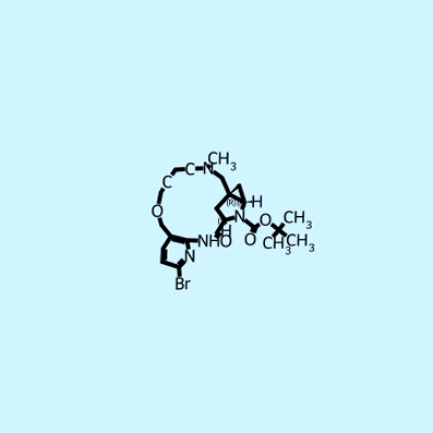 CN1CCCCOCc2ccc(Br)nc2NC(=O)[C@@H]2C[C@]3(C[C@H]3N2C(=O)OC(C)(C)C)C1